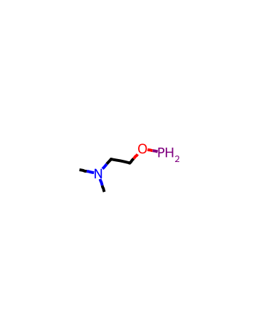 CN(C)CCOP